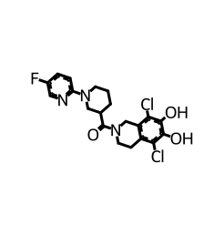 O=C(C1CCCN(c2ccc(F)cn2)C1)N1CCc2c(Cl)c(O)c(O)c(Cl)c2C1